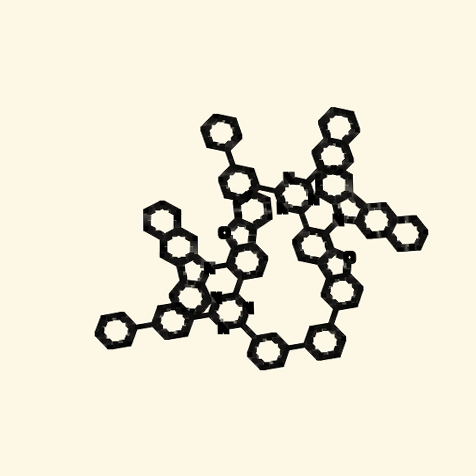 c1ccc(-c2ccc(-c3nc(-c4cccc(-c5cccc(-c6ccc7oc8c(-n9c%10ccccc%10c%10cc%11ccccc%11cc%109)c(-c9nc(-c%10cccc(-c%11ccccc%11)c%10)nc(-c%10ccc%11ccccc%11c%10)n9)ccc8c7c6)c5)c4)nc(-c4ccc5c(oc6ccccc65)c4-n4c5ccccc5c5cc6ccccc6cc54)n3)cc2)cc1